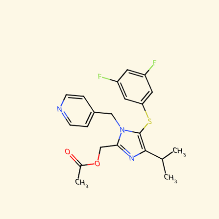 CC(=O)OCc1nc(C(C)C)c(Sc2cc(F)cc(F)c2)n1Cc1ccncc1